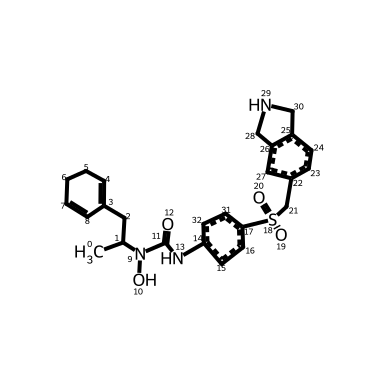 CC(CC1=CCCC=C1)N(O)C(=O)Nc1ccc(S(=O)(=O)Cc2ccc3c(c2)CNC3)cc1